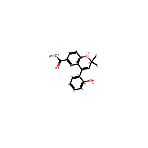 COC(=O)c1ccc2c(c1)C(c1ccccc1O)=CC(C)(C)O2